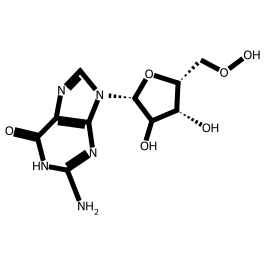 Nc1nc2c(ncn2[C@@H]2O[C@H](COO)[C@H](O)C2O)c(=O)[nH]1